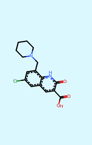 O=C(O)c1cc2cc(Cl)cc(CN3CCCCC3)c2[nH]c1=O